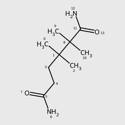 CC(C)(CCC(N)=O)C(C)(C)C(N)=O